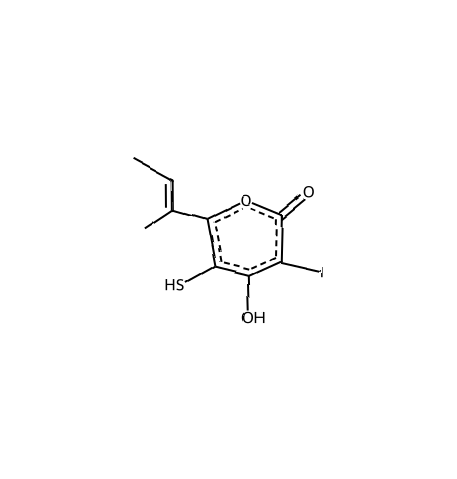 C/C=C(\C)c1oc(=O)c(I)c(O)c1S